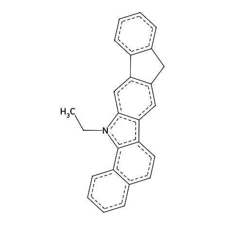 CCn1c2cc3c(cc2c2ccc4ccccc4c21)Cc1ccccc1-3